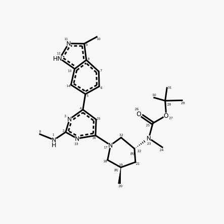 CNc1nc(-c2ccc3c(C)n[nH]c3c2)cc(N2C[C@H](C)C[C@@H](N(C)C(=O)OC(C)(C)C)C2)n1